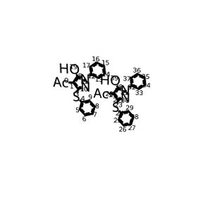 CC(=O)c1c(Sc2ccccc2)nn(-c2ccccc2)c1O.CC(=O)c1c(Sc2ccccc2)nn(-c2ccccc2)c1O